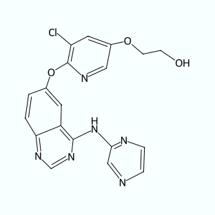 OCCOc1cnc(Oc2ccc3ncnc(Nc4cnccn4)c3c2)c(Cl)c1